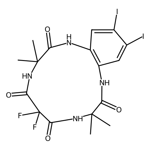 CC1(C)NC(=O)C(F)(F)C(=O)NC(C)(C)C(=O)Nc2cc(I)c(I)cc2NC1=O